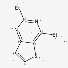 CCc1nc(CC)c2sccc2n1